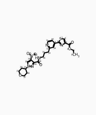 CCOC(=O)c1csc(-c2ccnc(CCCNC(=O)c3nn(C4CCOCC4)cc3[N+](=O)[O-])c2)n1